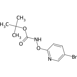 CC(C)(C)OC(=O)NOc1ccc(Br)cn1